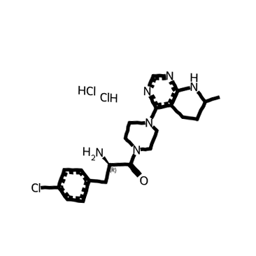 CC1CCc2c(ncnc2N2CCN(C(=O)[C@H](N)Cc3ccc(Cl)cc3)CC2)N1.Cl.Cl